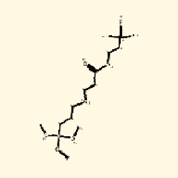 CO[Si](CCCNCCC(=O)OCCC(F)(F)F)(OC)OC